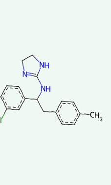 Cc1ccc(CC(NC2=NCCN2)c2cccc(Cl)c2)cc1